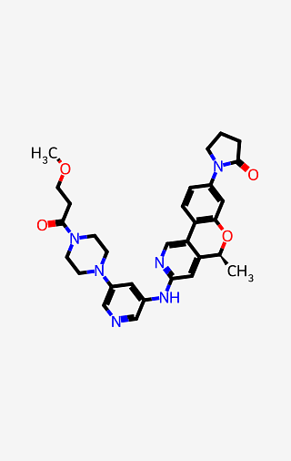 COCCC(=O)N1CCN(c2cncc(Nc3cc4c(cn3)-c3ccc(N5CCCC5=O)cc3O[C@H]4C)c2)CC1